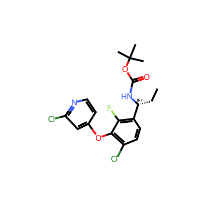 CC[C@@H](NC(=O)OC(C)(C)C)c1ccc(Cl)c(Oc2ccnc(Cl)c2)c1F